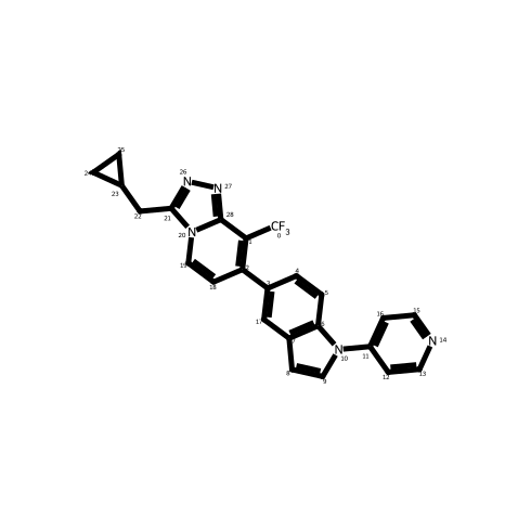 FC(F)(F)c1c(-c2ccc3c(ccn3-c3ccncc3)c2)ccn2c(CC3CC3)nnc12